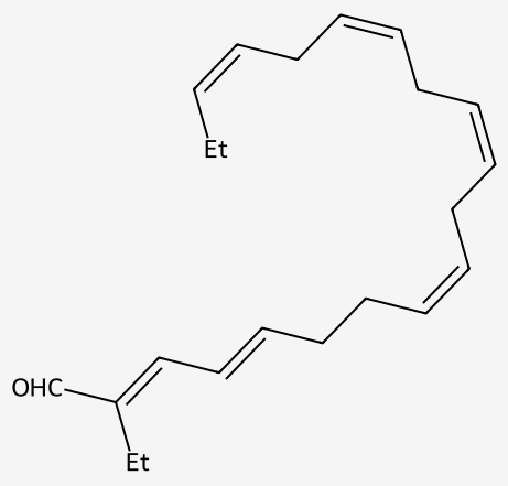 CC/C=C\C/C=C\C/C=C\C/C=C\CC/C=C/C=C(/C=O)CC